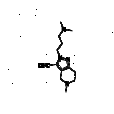 CN(C)CCCn1nc2c(c1C=O)CN(C)CC2